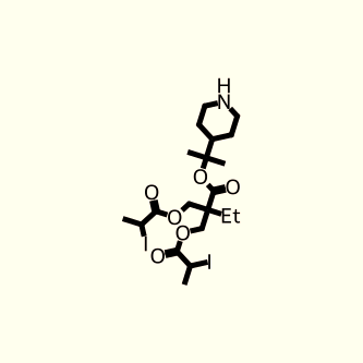 CCC(COC(=O)C(C)I)(COC(=O)C(C)I)C(=O)OC(C)(C)C1CCNCC1